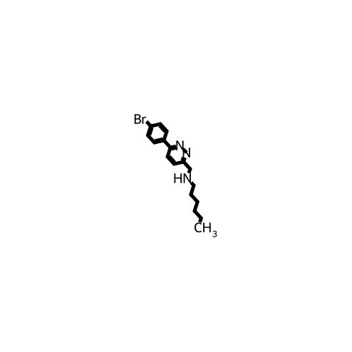 CCCCCCNCc1ccc(-c2ccc(Br)cc2)nn1